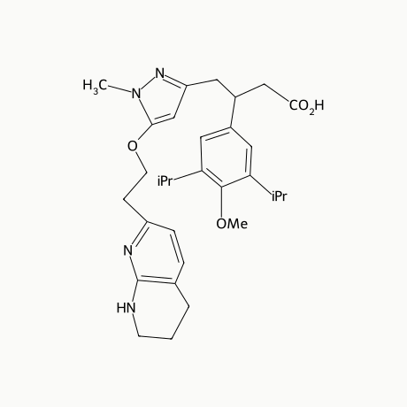 COc1c(C(C)C)cc(C(CC(=O)O)Cc2cc(OCCc3ccc4c(n3)NCCC4)n(C)n2)cc1C(C)C